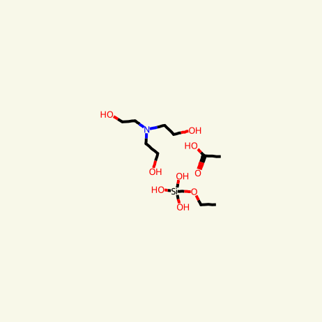 CC(=O)O.CCO[Si](O)(O)O.OCCN(CCO)CCO